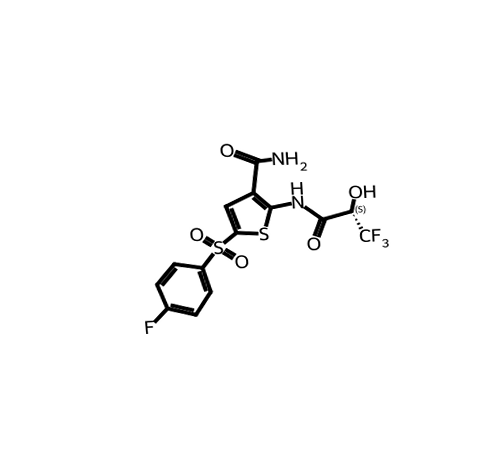 NC(=O)c1cc(S(=O)(=O)c2ccc(F)cc2)sc1NC(=O)[C@H](O)C(F)(F)F